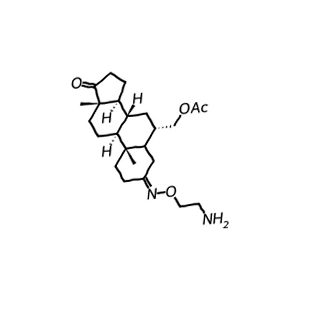 CC(=O)OC[C@H]1C[C@@H]2[C@H](CC[C@]3(C)C(=O)CC[C@@H]23)[C@@]2(C)CC/C(=N/OCCN)CC12